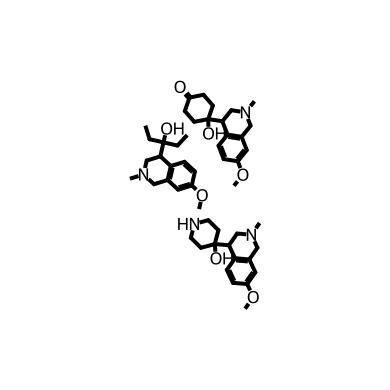 CCC(O)(CC)C1CN(C)Cc2cc(OC)ccc21.COc1ccc2c(c1)CN(C)CC2C1(O)CCC(=O)CC1.COc1ccc2c(c1)CN(C)CC2C1(O)CCNCC1